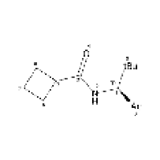 CC(=O)[C@@H](NC(=O)C1CCC1)C(C)(C)C